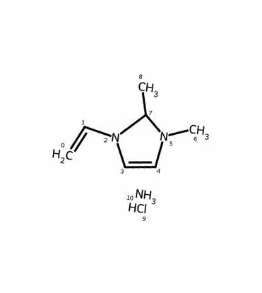 C=CN1C=CN(C)C1C.Cl.N